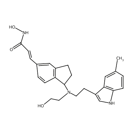 Cc1ccc2[nH]cc(CCN(CCO)C3CCc4cc(C=CC(=O)NO)ccc43)c2c1